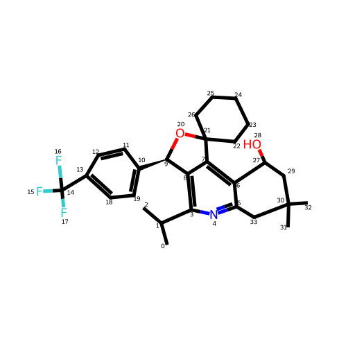 CC(C)c1nc2c(c3c1[C@@H](c1ccc(C(F)(F)F)cc1)OC31CCCCC1)C(O)CC(C)(C)C2